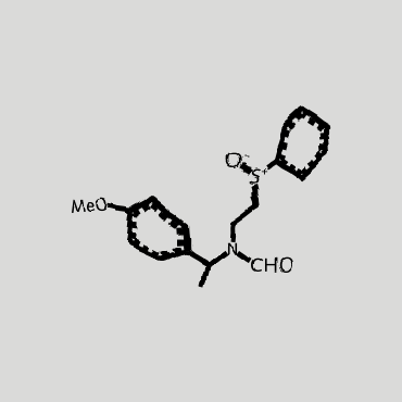 COc1ccc(C(C)N(C=O)CC[S+]([O-])c2ccccc2)cc1